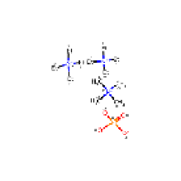 CC[N+](CC)(CC)CC.CC[N+](CC)(CC)CC.C[N+](C)(C)C.O=P([O-])([O-])[O-]